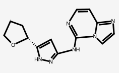 [CH]1CO[C@@H](c2cc(Nc3nccc4nccn34)n[nH]2)C1